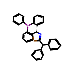 c1ccc(C(C2=N[C@@H](c3ccccc3P(c3ccccc3)c3ccccc3)CS2)c2ccccc2)cc1